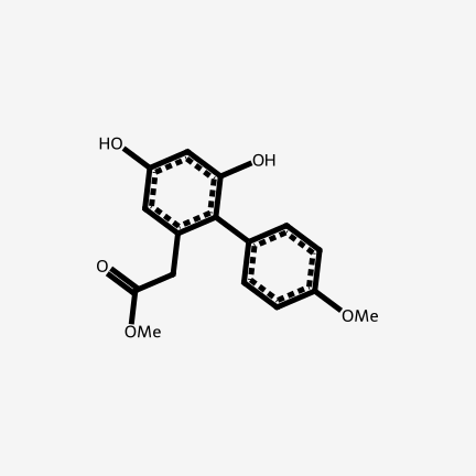 COC(=O)Cc1cc(O)cc(O)c1-c1ccc(OC)cc1